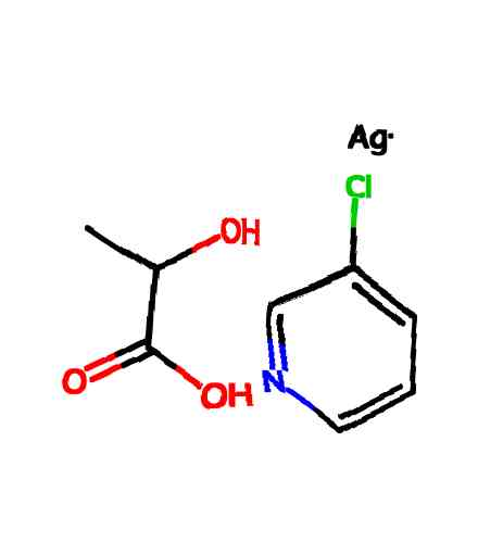 CC(O)C(=O)O.Clc1cccnc1.[Ag]